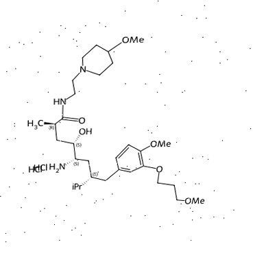 COCCCOc1cc(C[C@@H](C[C@H](N)[C@@H](O)C[C@@H](C)C(=O)NCCN2CCC(OC)CC2)C(C)C)ccc1OC.Cl.Cl